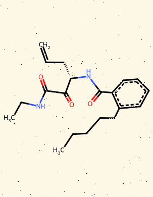 C=CC[C@H](NC(=O)c1ccccc1CCCCC)C(=O)C(=O)NCC